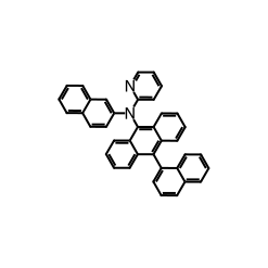 c1ccc(N(c2ccc3ccccc3c2)c2c3ccccc3c(-c3cccc4ccccc34)c3ccccc23)nc1